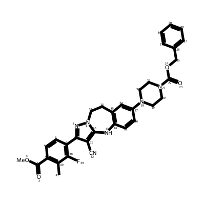 COC(=O)c1ccc(-c2nn3c(c2C#N)Nc2ccc(N4CCN(C(=O)OCc5ccccc5)CC4)cc2CC3)c(F)c1C